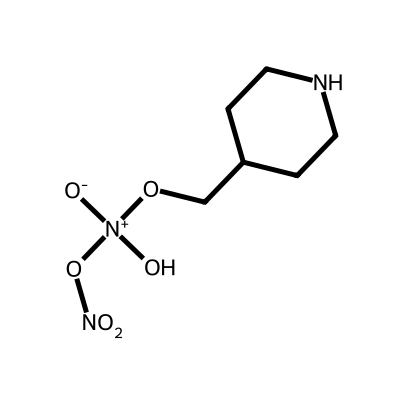 O=[N+]([O-])O[N+]([O-])(O)OCC1CCNCC1